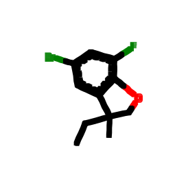 CCC1(C)COc2c(F)cc(Br)cc21